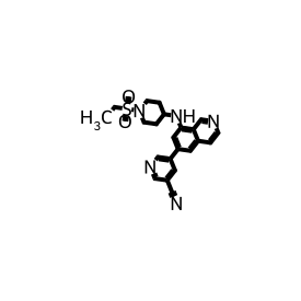 CCS(=O)(=O)N1CCC(Nc2cc(-c3cncc(C#N)c3)cc3ccncc23)CC1